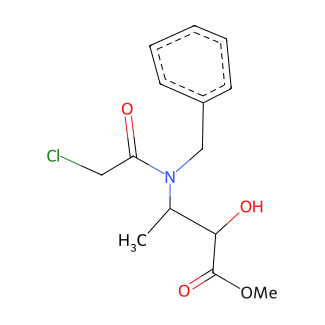 COC(=O)C(O)C(C)N(Cc1ccccc1)C(=O)CCl